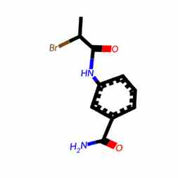 CC(Br)C(=O)Nc1cccc(C(N)=O)c1